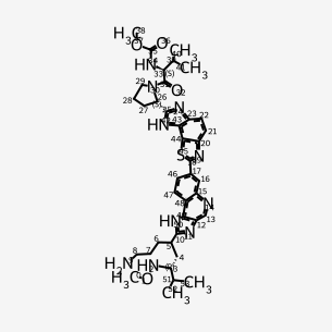 CON[C@H](CC(CCCN)c1nc2cnc3cc(-c4nc5ccc6nc([C@@H]7CCCN7C(=O)[C@@H](NC(=O)OC)C(C)C)[nH]c6c5s4)ccc3c2[nH]1)C(C)C